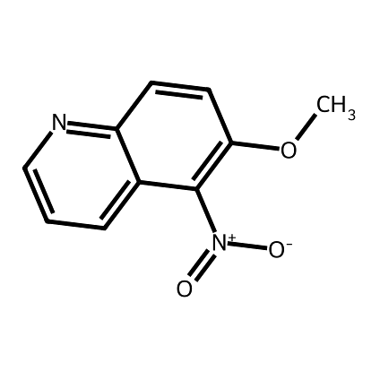 COc1ccc2ncccc2c1[N+](=O)[O-]